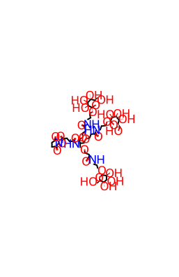 O=C(CCOCC(COCCC(=O)NCCCO[C@H]1O[C@H](CO)[C@@H](O)[C@H](O)[C@@H]1O)(COCCC(=O)NCCCO[C@H]1O[C@H](CO)[C@@H](O)[C@H](O)[C@@H]1O)NC(=O)CCC(=O)ON1C(=O)CCC1=O)NCCCO[C@H]1O[C@H](CO)[C@@H](O)[C@H](O)[C@@H]1O